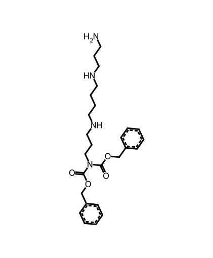 NCCCNCCCCNCCCN(C(=O)OCc1ccccc1)C(=O)OCc1ccccc1